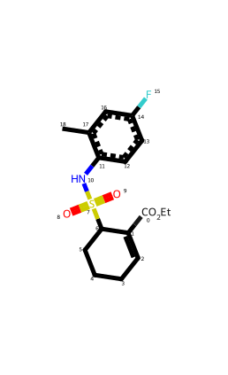 CCOC(=O)C1=CCCCC1S(=O)(=O)Nc1ccc(F)cc1C